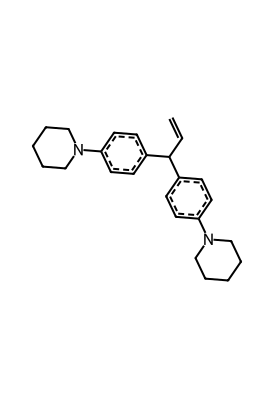 C=CC(c1ccc(N2CCCCC2)cc1)c1ccc(N2CCCCC2)cc1